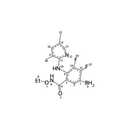 Bc1cc(C(=O)NOCC)c(Nc2ncc(C)cc2C)c(F)c1F